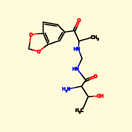 CC(NCNC(=O)C(N)C(C)O)C(=O)c1ccc2c(c1)OCO2